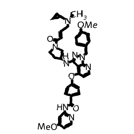 COc1ccc(Cn2nc(N[C@@H]3CCN(C(=O)/C=C/CN(C)C4CC4)C3)c3c(Oc4ccc(C(=O)Nc5cc(OC)ccn5)cc4)ccnc32)cc1